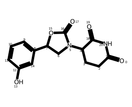 O=C1CCC(N2CC(c3cccc(O)c3)OC2=O)C(=O)N1